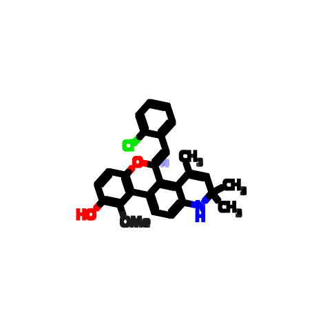 COc1c(O)ccc2c1-c1ccc3c(c1/C(=C/c1ccccc1Cl)O2)C(C)=CC(C)(C)N3